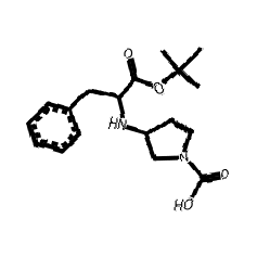 CC(C)(C)OC(=O)C(Cc1ccccc1)NC1CCN(C(=O)O)C1